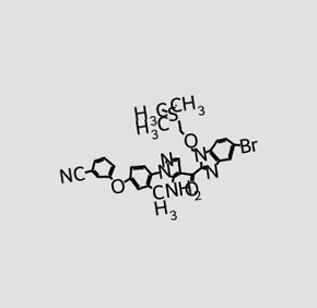 Cc1cc(Oc2cccc(C#N)c2)ccc1-n1ncc(C(=O)c2nc3cc(Br)ccc3n2COCCS(C)(C)C)c1N